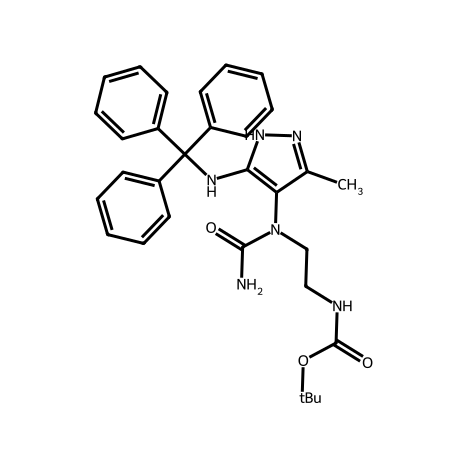 Cc1n[nH]c(NC(c2ccccc2)(c2ccccc2)c2ccccc2)c1N(CCNC(=O)OC(C)(C)C)C(N)=O